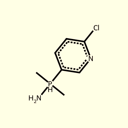 C[PH](C)(N)c1ccc(Cl)nc1